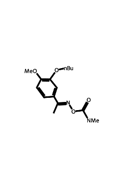 CCCCOc1cc(C(C)=NOC(=O)NC)ccc1OC